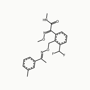 CNC(=O)/C(=N/OC)c1cccc(C(F)F)c1CO/N=C(\C)c1cccc(C)c1